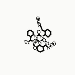 CCC(N=C=O)C1CCCCC1n1c(=O)n(C2CCCCC2CCN=C=O)c(=O)n(C2CCCCC2C(CC)N=C=O)c1=O